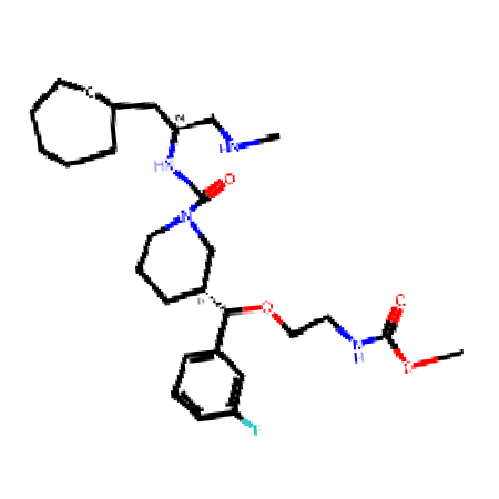 CNC[C@H](CC1CCCCCC1)NC(=O)N1CCC[C@@H](C(OCCNC(=O)OC)c2cccc(F)c2)C1